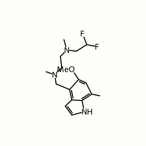 COc1cc(C)c2[nH]ccc2c1CN(C)CCN(C)CC(F)F